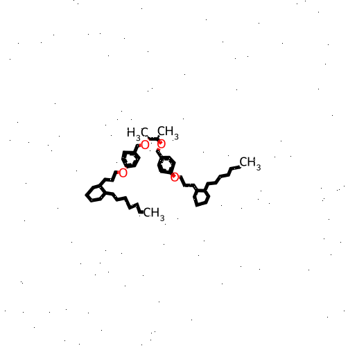 CCCCCCCC1CCCCC1CCCOc1ccc(CO[C@H](C)[C@@H](C)OCc2ccc(OCCCC3CCCCC3CCCCCCC)cc2)cc1